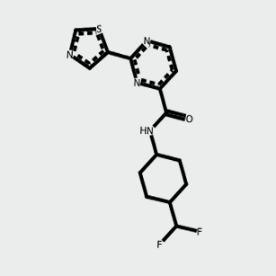 O=C(NC1CCC(C(F)F)CC1)c1ccnc(-c2cncs2)n1